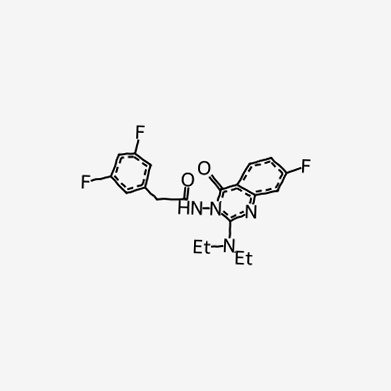 CCN(CC)c1nc2cc(F)ccc2c(=O)n1NC(=O)Cc1cc(F)cc(F)c1